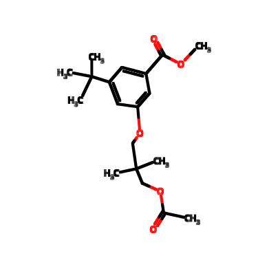 COC(=O)c1cc(OCC(C)(C)COC(C)=O)cc(C(C)(C)C)c1